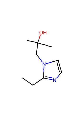 CCc1nccn1CC(C)(C)O